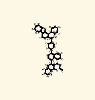 C=C/C=C\c1c(-c2ccc(C3C=CC(C4=NC5C=CC=CC5c5c4ccc4c5sc5ccccc54)=CC3)c3ccccc23)cc2cccnc2c1C